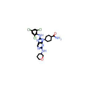 NC(=O)C1CCC(n2c(Nc3c(Cl)cc(Cl)cc3Cl)nc3cnc(NC4CCCOC4)nc32)CC1